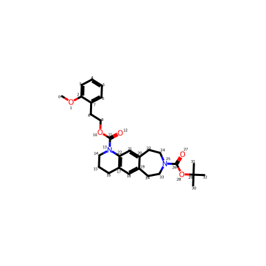 COc1ccccc1CCOC(=O)N1CCCc2cc3c(cc21)CCN(C(=O)OC(C)(C)C)CC3